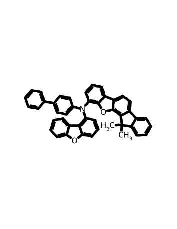 CC1(C)c2ccccc2-c2ccc3c(oc4c(N(c5ccc(-c6ccccc6)cc5)c5cccc6oc7ccccc7c56)cccc43)c21